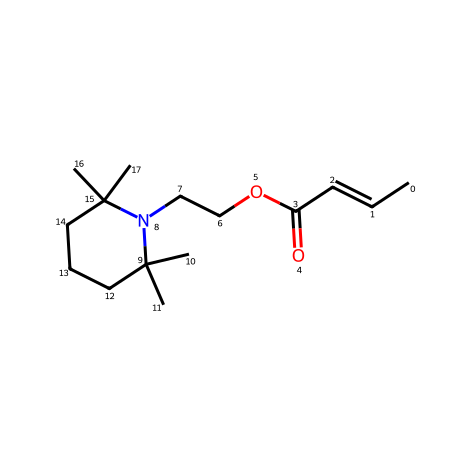 C/C=C/C(=O)OCCN1C(C)(C)CCCC1(C)C